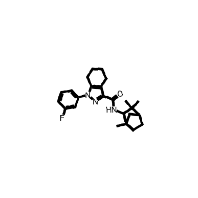 CC12CCC(C1)C(C)(C)C2NC(=O)c1nn(-c2cccc(F)c2)c2c1CCCC2